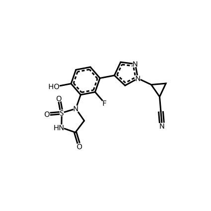 N#CC1CC1n1cc(-c2ccc(O)c(N3CC(=O)NS3(=O)=O)c2F)cn1